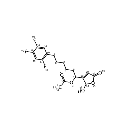 CC(=O)OC(CCCCCc1cc(F)c(F)cc1F)C1=CC(=O)OC1O